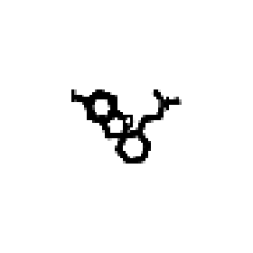 CN(C)CCC1CCCCC12Cc1cc(I)ccc1O2